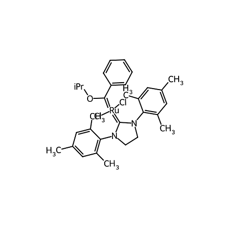 Cc1cc(C)c(N2CCN(c3c(C)cc(C)cc3C)[C]2=[Ru]([Cl])([Cl])=[C](OC(C)C)c2ccccc2)c(C)c1